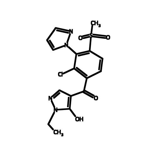 CCn1ncc(C(=O)c2ccc(S(C)(=O)=O)c(-n3cccn3)c2Cl)c1O